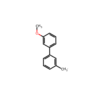 [CH2]c1cccc(-c2cccc(OC)c2)c1